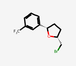 FC(F)(F)c1cccc([C@@H]2CC[C@H](CBr)O2)c1